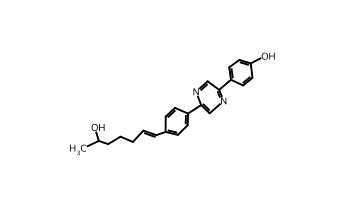 CC(O)CCCC=Cc1ccc(-c2cnc(-c3ccc(O)cc3)cn2)cc1